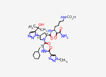 Cn1cc(C(=O)N[C@H](CC2CCCCC2)C(=O)N2C[C@@H](n3nncc3C(C)(C)O)C[C@H]2C(=O)NC(CCCCNC(=O)O)C(=O)C(N)=O)nn1